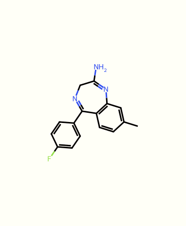 Cc1ccc2c(c1)N=C(N)CN=C2c1ccc(F)cc1